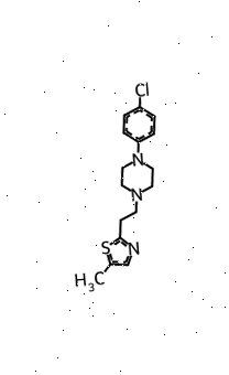 Cc1cnc(CCN2CCN(c3ccc(Cl)cc3)CC2)s1